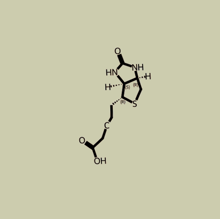 O=C(O)CCCC[C@H]1SC[C@@H]2NC(=O)N[C@@H]21